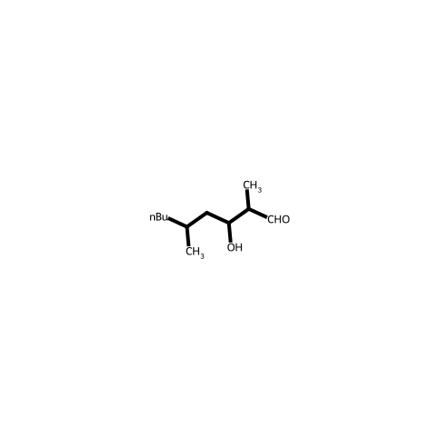 CCCCC(C)CC(O)C(C)C=O